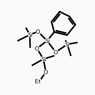 CCO[Si](C)(C)O[Si](O[Si](C)(C)C)(O[Si](C)(C)C)c1ccccc1